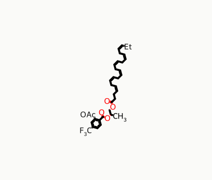 CC/C=C\C/C=C\C/C=C\C/C=C\C/C=C\C/C=C\CCC(=O)OCC(C)OC(=O)c1ccc(C(F)(F)F)cc1OC(C)=O